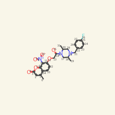 Cc1cc(=O)oc2c([N+](=O)[O-])c(OCC(=O)N3CC(C)N(Cc4ccc(F)cc4)CC3C)ccc12